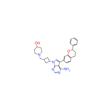 Nc1ncnc2c1c(-c1ccc3c(c1)OC(c1ccccc1)CC3)cn2C1CC(CN2CCC(O)CC2)C1